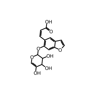 O=C(O)/C=C\c1cc2ccoc2cc1OC1OC=C(O)C(O)C1O